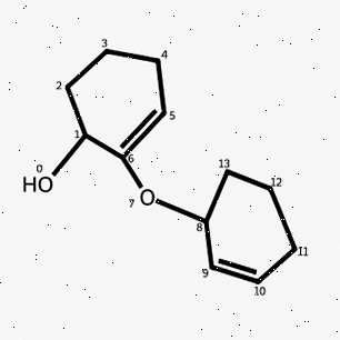 OC1CCCC=C1OC1C=CCCC1